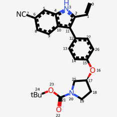 C=Cc1[nH]c2cc(C#N)ccc2c1-c1ccc(O[C@H]2CCN(C(=O)OC(C)(C)C)C2)cc1